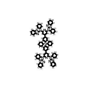 c1ccc([Si](c2ccccc2)(c2ccc(-c3cc(-n4c5ccccc5n5c6ccccc6nc45)nc(-n4c5ccccc5n5c6ccccc6nc45)c3)cc2)c2ccc(-c3cc(-n4c5ccccc5n5c6ccccc6nc45)nc(-n4c5ccccc5n5c6ccccc6nc45)c3)cc2)cc1